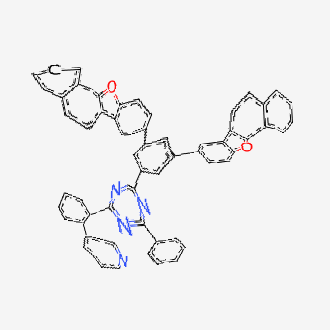 c1ccc(-c2nc(-c3cc(-c4ccc5oc6c7ccccc7ccc6c5c4)cc(-c4ccc5oc6c7ccccc7ccc6c5c4)c3)nc(-c3ccccc3-c3cccnc3)n2)cc1